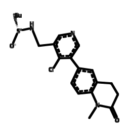 CN1C(=O)CCc2cc(-c3cncc(CN[S@+]([O-])C(C)(C)C)c3Cl)ccc21